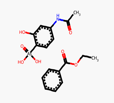 CC(=O)Nc1ccc([As](=O)(O)O)c(O)c1.CCOC(=O)c1ccccc1